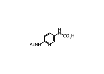 CC(=O)Nc1ccc(NC(=O)O)cn1